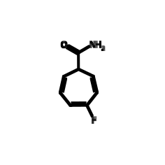 NC(=O)C1C=CC=C(F)C=C1